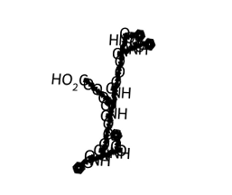 O=C(O)COCCOCCOCC(=O)N(CCNC(=O)COCCOCCOCC(=O)N(CCNC(=O)OCc1ccccc1)CCNC(=O)OCc1ccccc1)CCNC(=O)COCCOCCOCC(=O)N(CCNC(=O)OCc1ccccc1)CCNC(=O)OCc1ccccc1